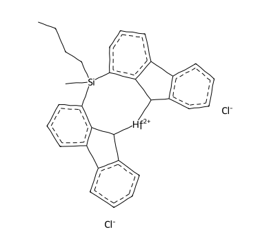 CCCC[Si]1(C)c2cccc3c2[CH]([Hf+2][CH]2c4ccccc4-c4cccc1c42)c1ccccc1-3.[Cl-].[Cl-]